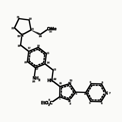 CCOC(=O)c1sc(-c2ccncc2)nc1NCc1ccc(CN2CCC[C@@H]2COC)cc1N